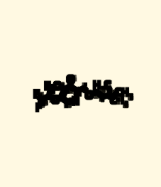 C[Si](C)(C)CCOCn1ncc(OC(F)C(F)F)c(C(F)(F)F)c1=O